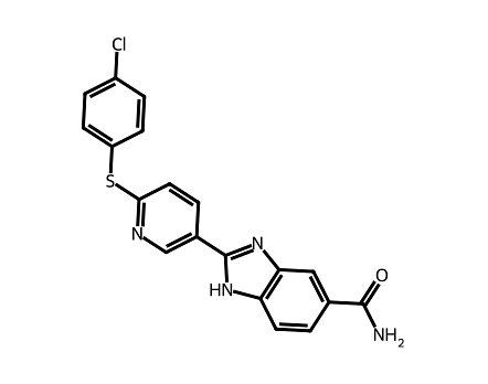 NC(=O)c1ccc2[nH]c(-c3ccc(Sc4ccc(Cl)cc4)nc3)nc2c1